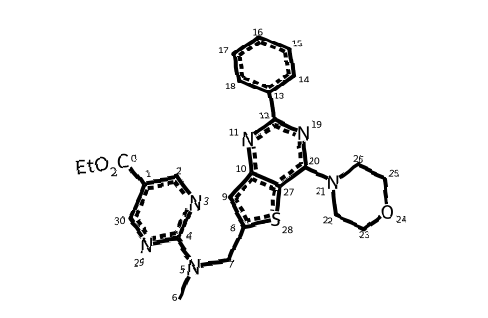 CCOC(=O)c1cnc(N(C)Cc2cc3nc(-c4ccccc4)nc(N4CCOCC4)c3s2)nc1